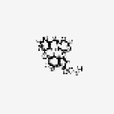 O=C(O)n1ccc2cc(Oc3cc(CN4CCOCC4)ncn3)ccc21